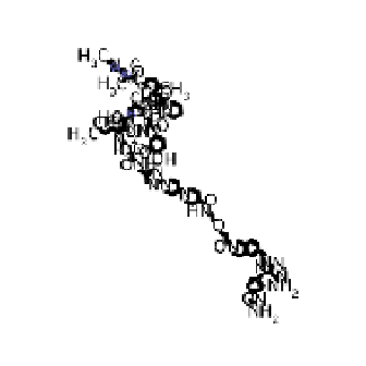 CC/C=C/C=C(\C)[C@H](C[C@@H]1CC[C@@H](C)[C@](O)(C(=O)C(=O)N2CCCC[C@H]2C(=O)O[C@@H](C[C@@H](O)[C@H](C)/C=C(\C)[C@@H](O)[C@@H](O)C(=NCOCC(=O)NCc2cnc(N3CCC(N4CCC(C(=O)NCCOCCC(=O)N5CCc6cc(Cn7nc(-c8ccc9oc(N)nc9c8)c8c(N)ncnc87)ccc6C5)CC4)CC3)nc2)[C@H](C)CC(C)C)[C@H](N)C[C@@H]2CC[C@@H](O)[C@H](OC)C2)O1)OC